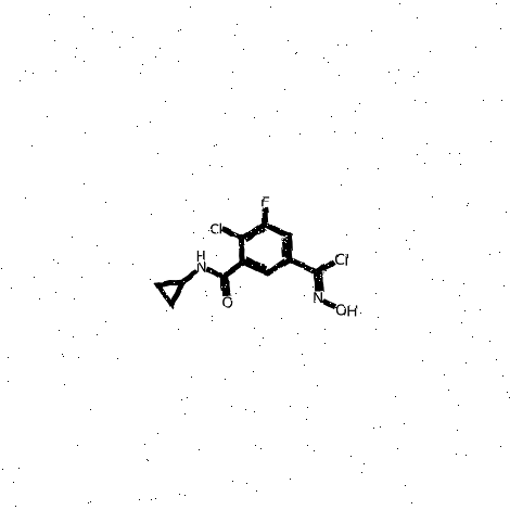 O=C(NC1CC1)c1cc(C(Cl)=NO)cc(F)c1Cl